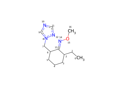 CCC1CCCC(Cn2cncn2)C1=NOC